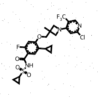 CC1(COc2cc(F)c(C(=O)NS(=O)(=O)C3CC3)cc2C2CC2)CN(c2cc(Cl)ncc2C(F)(F)F)C1